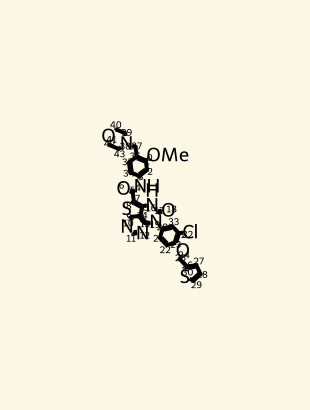 COc1cc(NC(=O)c2sc3ncnc4c3c2NC(=O)N4c2ccc(OCc3cccs3)c(Cl)c2)ccc1CN1CCOCC1